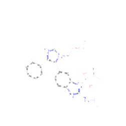 COCCn1cnc(-c2ccccc2)c1-c1ccc2nc(N)n(S(=O)(=O)C(C)C)c2c1